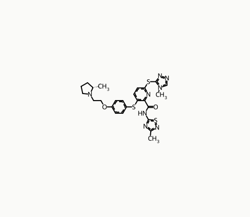 Cc1nsc(NC(=O)c2nc(Sc3nncn3C)ccc2Sc2ccc(OCCN3CCC[C@@H]3C)cc2)n1